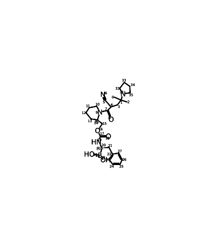 CC(C)(CC(C#N)C(=O)N1CCCC[C@@H]1COC(=O)N[C@@H](Cc1ccccc1)B(O)O)N1CCCC1